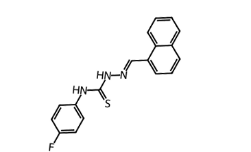 Fc1ccc(NC(=S)N/N=C/c2cccc3ccccc23)cc1